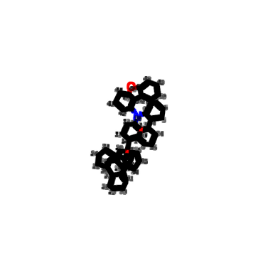 c1ccc(-c2ccccc2N(c2ccc(-c3ccc4c(c3)-c3c5cccc3-c3cccc-4c3-c3ccccc3-5)cc2)c2cccc3oc4ccccc4c23)cc1